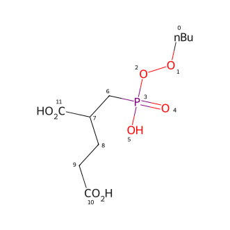 CCCCOOP(=O)(O)CC(CCC(=O)O)C(=O)O